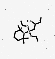 CCO[Si](CC(N)CC)(OCC)N1C(C)(C)CCCC1(C)C